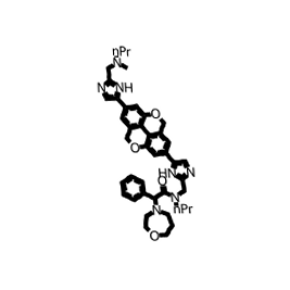 CCCN(C)Cc1ncc(-c2cc3c4c(c2)OCc2cc(-c5cnc(CN(CCC)C(=O)C(c6ccccc6)N6CCCOCC6)[nH]5)cc(c2-4)OC3)[nH]1